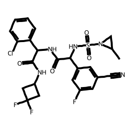 CC1CN1S(=O)(=O)NC(C(=O)NC(C(=O)NC1CC(F)(F)C1)c1ccccc1Cl)c1cc(F)cc(C#N)c1